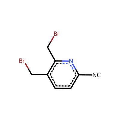 [C-]#[N+]c1ccc(CBr)c(CBr)n1